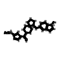 CC(=O)Nc1ccn(C(=O)N2CCC3(CCCN3Cc3ccc4c(ccn4C)c3)CC2)n1